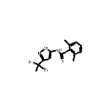 CCC(C)(CC)c1cc(NC(=S)c2c(C)cccc2C)on1